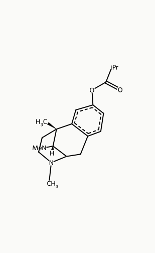 CN[C@H]1C2Cc3ccc(OC(=O)C(C)C)cc3[C@@]1(C)CCN2C